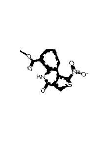 COC(=O)c1cccc2c1[nH]c(=O)c1csc([N+](=O)[O-])c12